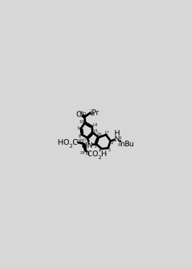 CCCCNC1CCc2[nH]c3ccc(C(=O)C(C)C)cc3c2C1.O=C(O)/C=C/C(=O)O